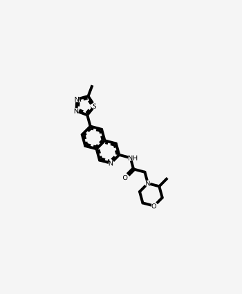 Cc1nnc(-c2ccc3cnc(NC(=O)CN4CCOCC4C)cc3c2)s1